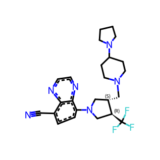 N#Cc1ccc(N2C[C@H](CN3CCC(N4CCCC4)CC3)[C@@H](C(F)(F)F)C2)c2nccnc12